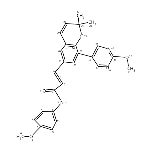 COc1ccc(NC(=O)/C=C/c2cc3c(c(-c4cnc(OC)nc4)c2)OC(C)(C)C=C3)cc1